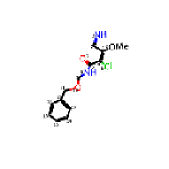 CO/C(C=N)=C(\Cl)C(=O)NCOCc1ccccc1